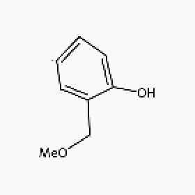 COCc1c[c]ccc1O